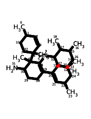 CC1C=CC(C)(C2(C)C(NC3CC(C)CC(C)C3C)=C(C3=CC(C)CC(C)C3)CCC2N)CC1